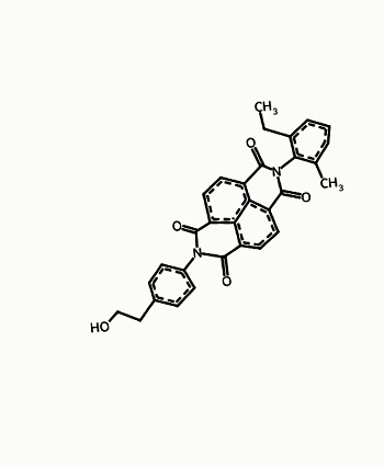 CCc1cccc(C)c1N1C(=O)c2ccc3c4c(ccc(c24)C1=O)C(=O)N(c1ccc(CCO)cc1)C3=O